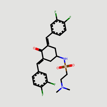 CN(C)CCS(=O)(=O)NC1C/C(=C\c2ccc(F)c(F)c2)C(=O)/C(=C/c2ccc(F)c(F)c2)C1